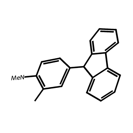 CNc1ccc(C2c3ccccc3-c3ccccc32)cc1C